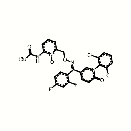 CC(C)(C)C(=O)Nc1cccc(CON=C(c2ccc(=O)n(-c3c(Cl)cccc3Cl)c2)c2ccc(F)cc2F)[n+]1[O-]